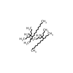 CCCCCCCCCC(CCCC)C(N)(CCCC)CCCC.CCCCCCCCCCC(CCCC)C(N)(CCCC)CCCC